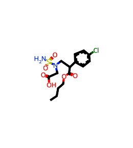 CCCCOC(=O)C(CN(CC(=O)O)S(N)(=O)=O)c1ccc(Cl)cc1